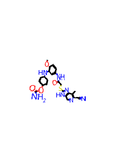 COc1ccc(NC(=O)CSc2nc3c(C)c(C#N)ncc3[nH]2)cc1NC1CCC(OC(N)=O)CC1